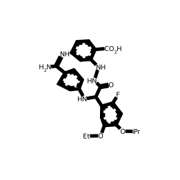 CCOc1cc(C(Nc2ccc(C(=N)N)cc2)C(=O)NNc2ccccc2C(=O)O)c(F)cc1OC(C)C